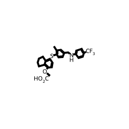 Cc1cc(CNc2ccc(C(F)(F)F)cc2)ccc1Sc1ccc(OCC(=O)O)c2c1CCCC2